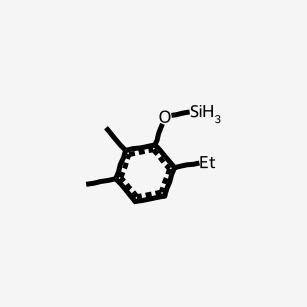 CCc1ccc(C)c(C)c1O[SiH3]